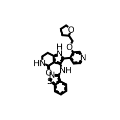 O=C1NCCc2[nH]c(-c3ccncc3OCC3CCCO3)c(Nc3nsc4ccccc34)c21